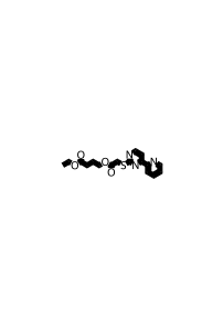 CCOC(=O)CCCOC(=O)CSc1nccc(-c2ccccn2)n1